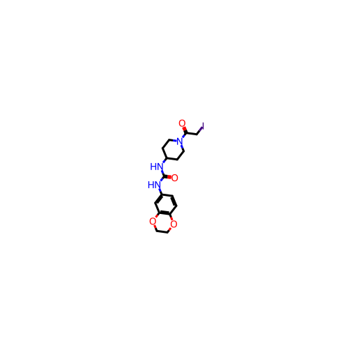 O=C(Nc1ccc2c(c1)OCCO2)NC1CCN(C(=O)CI)CC1